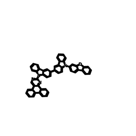 c1ccc2c(c1)oc1cc(-n3c4ccccc4c4cc(-c5ccc6c(c5)c5ccccc5n6-c5ncc6c7ccccc7c7ccccc7c6n5)ccc43)ccc12